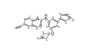 C#Cc1ccc2nc(Nc3cc(OC4CN(C)C4)cc(-c4cnn(C)c4)c3)ncc2c1